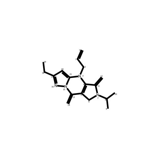 C=CCN1C2=C(CN(C(C)C)C2=C)C(=C)n2nc(CC)cc21